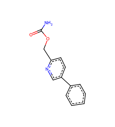 NC(=O)OCc1ccc(-c2ccccc2)cn1